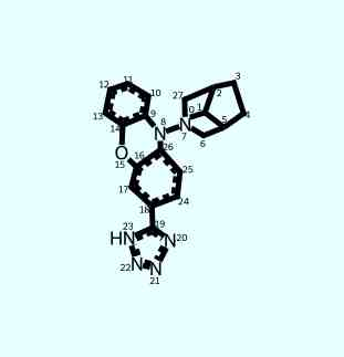 CC1C2CCC1CN(N1c3ccccc3Oc3cc(-c4nnn[nH]4)ccc31)C2